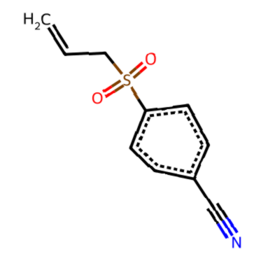 C=CCS(=O)(=O)c1ccc(C#N)cc1